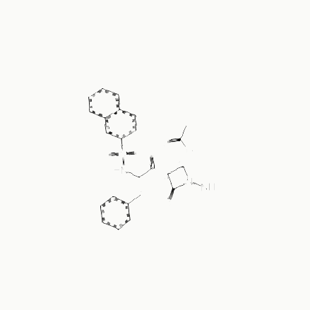 CC(=O)O[C@H]1[C@@H](C(=O)[C@H](Cc2ccccc2)NS(=O)(=O)c2ccc3ccccc3c2)C(=O)N1N